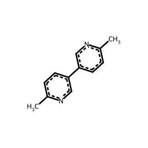 Cc1ccc(-c2ccc(C)nc2)cn1